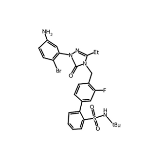 CCc1nn(-c2cc(N)ccc2Br)c(=O)n1Cc1ccc(-c2ccccc2S(=O)(=O)NC(C)(C)C)cc1F